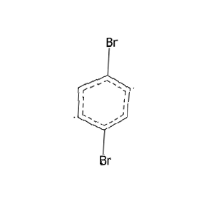 Brc1[c]cc(Br)[c]c1